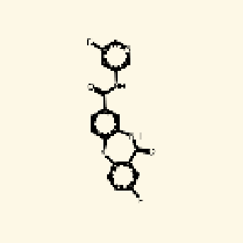 O=C(Nc1cncc(F)c1)c1ccc2c(c1)NC(=O)c1cc(F)ccc1S2